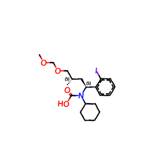 COCOC[C@@H](C)C[C@@H](c1ccccc1I)N(C(=O)O)C1CCCCC1